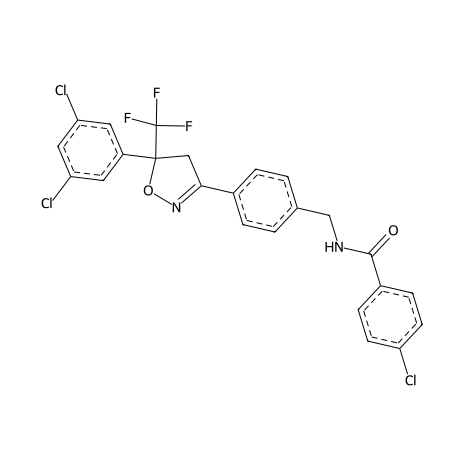 O=C(NCc1ccc(C2=NOC(c3cc(Cl)cc(Cl)c3)(C(F)(F)F)C2)cc1)c1ccc(Cl)cc1